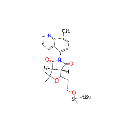 CC1(C)OC(CCO[Si](C)(C)C(C)(C)C)[C@H]2C(=O)N(c3ccc(C#N)c4ncccc34)C(=O)[C@H]21